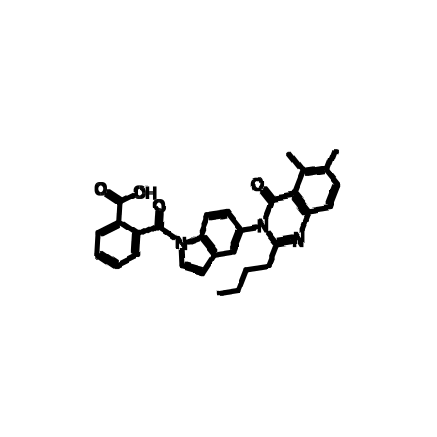 CCCCc1nc2ccc(C)c(C)c2c(=O)n1-c1ccc2c(ccn2C(=O)c2ccccc2C(=O)O)c1